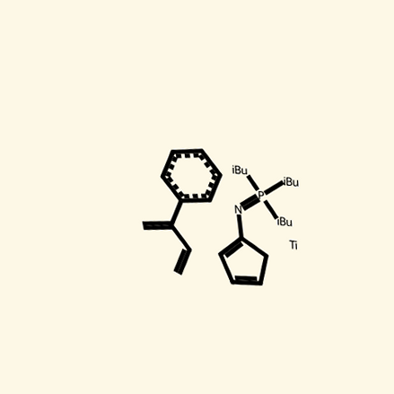 C=CC(=C)c1ccccc1.CCC(C)P(=NC1=CC=CC1)(C(C)CC)C(C)CC.[Ti]